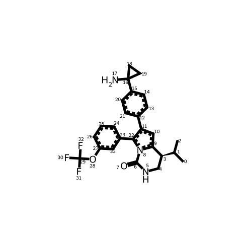 CC(C)[C@H]1CNC(=O)n2c1cc(-c1ccc(C3(N)CC3)cc1)c2-c1cccc(OC(F)(F)F)c1